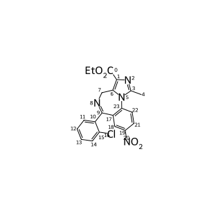 CCOC(=O)c1nc(C)n2c1CN=C(c1ccccc1Cl)c1cc([N+](=O)[O-])ccc1-2